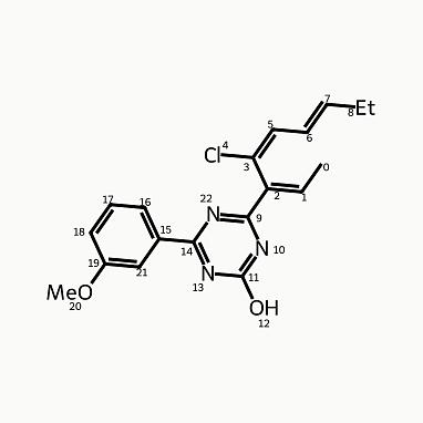 C\C=C(/C(Cl)=C\C=C\CC)c1nc(O)nc(-c2cccc(OC)c2)n1